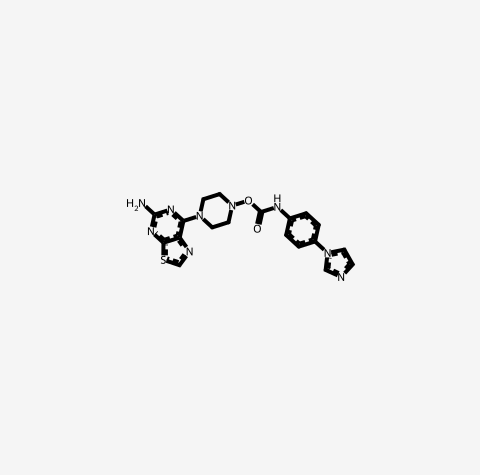 Nc1nc(N2CCN(OC(=O)Nc3ccc(-n4ccnc4)cc3)CC2)c2ncsc2n1